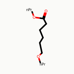 CCCOCCCCCC(=O)OCCC